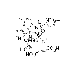 COc1ncccc1C1(N2C[C@H](O)C[C@H]2C(=O)N(C)C)C(=O)N(S(=O)(=O)c2ccc(C)cn2)c2ccc(C)cc21.O=C(O)C=CC(=O)O